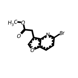 COC(=O)Cc1coc2ccc(Br)nc12